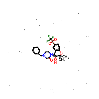 CC1(C)Oc2ccc(S(=O)(=O)C(F)(F)F)cc2[C@@H](N2CCN(Cc3ccccc3)CC2=O)[C@@H]1O